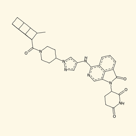 CC1C2C3CC4C3C2C14C(=O)N1CCC(n2cc(Nc3ncc4c5c(cccc35)C(=O)N4C3CCC(=O)NC3=O)cn2)CC1